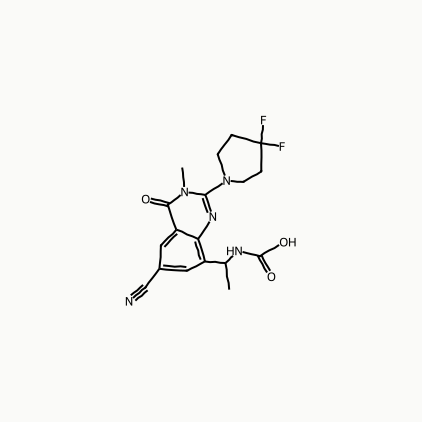 CC(NC(=O)O)c1cc(C#N)cc2c(=O)n(C)c(N3CCC(F)(F)CC3)nc12